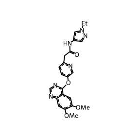 CCn1cc(NC(=O)Cc2ccc(Oc3ncnc4cc(OC)c(OC)cc34)cn2)cn1